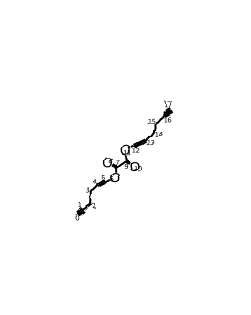 C#CCCC#COC(=O)C(=O)OC#CCCC#C